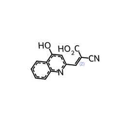 N#C/C(=C/c1cc(O)c2ccccc2n1)C(=O)O